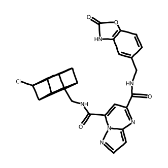 O=C(NCc1ccc2oc(=O)[nH]c2c1)c1cc(C(=O)NCC23C4C5C2C2C3C4C52Cl)n2nccc2n1